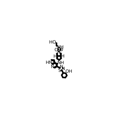 O=S(=O)(NCCO)N1C[C@H]2CC(Nc3c(-c4nnc(C5CCCCC5O)s4)cnc4[nH]ccc34)C[C@H]2C1